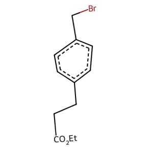 CCOC(=O)CCc1ccc(CBr)cc1